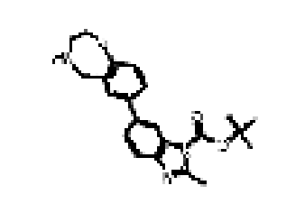 Cc1nc2ccc(-c3ccc4c(c3)CNCCO4)cc2n1C(=O)OC(C)(C)C